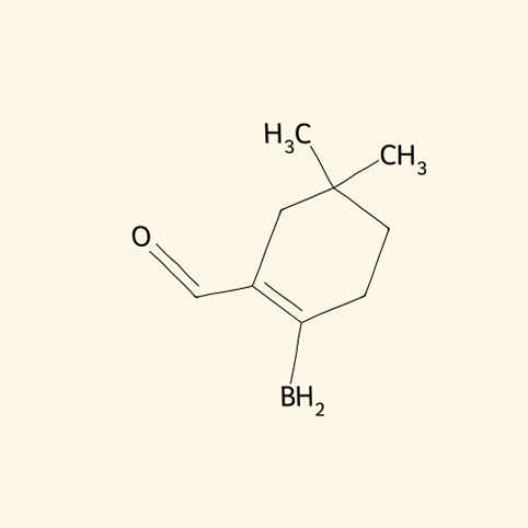 BC1=C(C=O)CC(C)(C)CC1